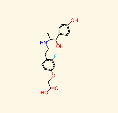 C[C@H](NCCc1ccc(OCC(=O)O)cc1F)[C@H](O)c1ccc(O)cc1